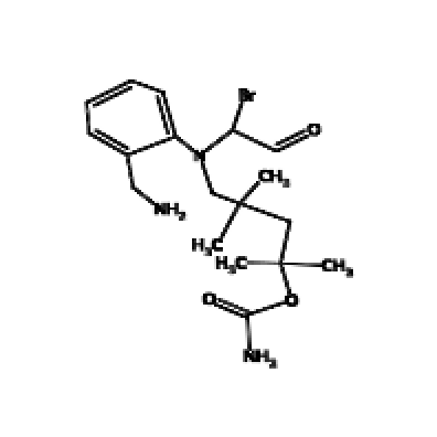 CC(C)(CN(c1ccccc1CN)C(Br)C=O)CC(C)(C)OC(N)=O